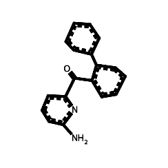 Nc1cccc(C(=O)c2ccccc2-c2ccccc2)n1